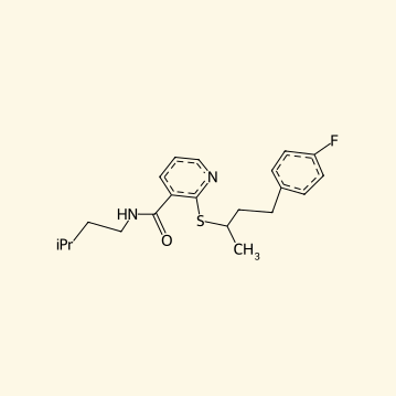 CC(C)CCNC(=O)c1cccnc1SC(C)CCc1ccc(F)cc1